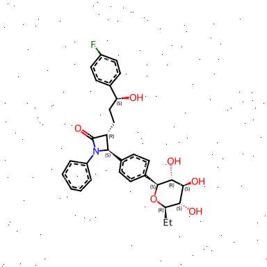 CC[C@H]1O[C@@H](c2ccc([C@@H]3[C@@H](CC[C@H](O)c4ccc(F)cc4)C(=O)N3c3ccccc3)cc2)[C@H](O)[C@@H](O)[C@@H]1O